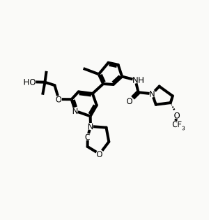 Cc1ccc(NC(=O)N2CC[C@H](OC(F)(F)F)C2)cc1-c1cc(OCC(C)(C)O)nc(N2CCOCC2)c1